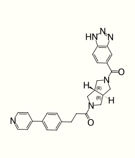 O=C(CCc1ccc(-c2ccncc2)cc1)N1C[C@@H]2CN(C(=O)c3ccc4[nH]nnc4c3)C[C@H]2C1